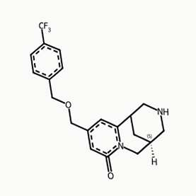 O=c1cc(COCc2ccc(C(F)(F)F)cc2)cc2n1C[C@@H]1CNCC2C1